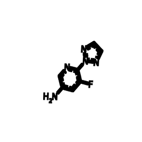 Nc1cnc(-n2nccn2)c(F)c1